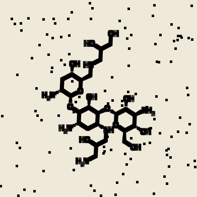 NCC(O)CN[C@@H]1C[C@H](N)C(O[C@H]2O[C@H](CNCC(O)CO)[C@@H](O)C[C@H]2N)[C@H](O)[C@H]1O[C@H]1O[C@H](CO)[C@@H](O)[C@H](N)[C@H]1O